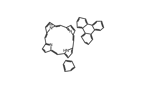 C1=Cc2cc3ccc(cc4nc(cc5ccc(cc1n2)[nH]5)C=C4)[nH]3.c1ccc2c(c1)c1ccccc1c1ccccc21.c1ccccc1